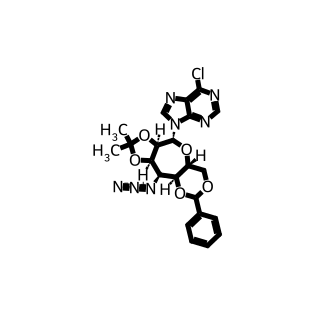 CC1(C)O[C@@H]2[C@H](N=[N+]=[N-])[C@@H]3OC(c4ccccc4)OC[C@H]3O[C@@H](n3cnc4c(Cl)ncnc43)[C@@H]2O1